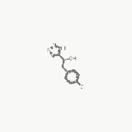 O[C@@H](Cc1ccc(Cl)cc1)c1nnn[nH]1